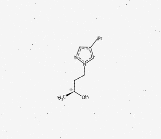 CC(C)c1cnn(CC[C@H](C)O)c1